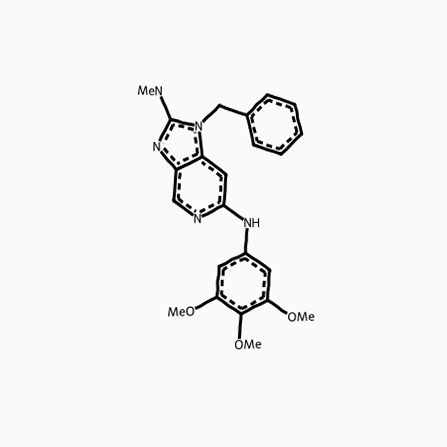 CNc1nc2cnc(Nc3cc(OC)c(OC)c(OC)c3)cc2n1Cc1ccccc1